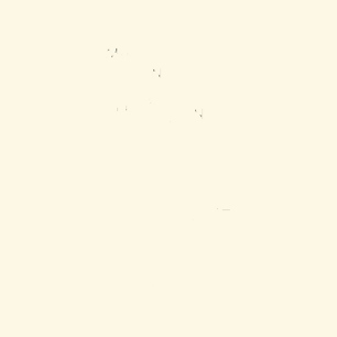 [2H]c1cc(Cl)ccc1-c1ccnc(C(=O)N(C)OC)c1